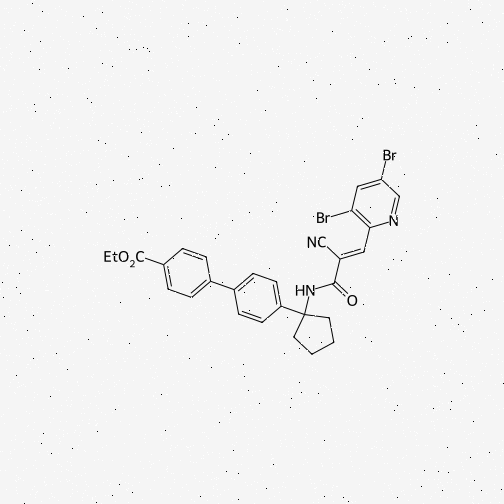 CCOC(=O)c1ccc(-c2ccc(C3(NC(=O)/C(C#N)=C/c4ncc(Br)cc4Br)CCCC3)cc2)cc1